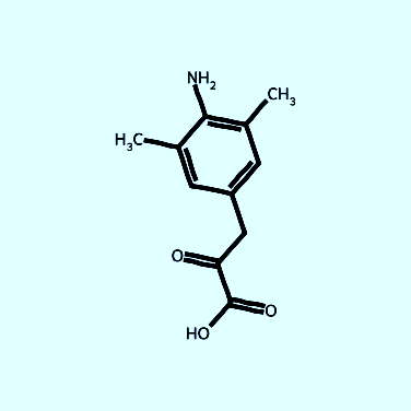 Cc1cc(CC(=O)C(=O)O)cc(C)c1N